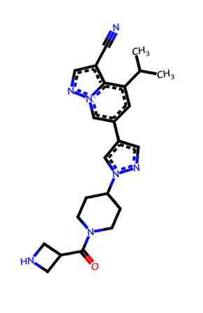 CC(C)c1cc(-c2cnn(C3CCN(C(=O)C4CNC4)CC3)c2)cn2ncc(C#N)c12